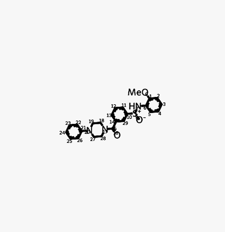 COc1ccccc1N[S+]([O-])c1cccc(C(=O)N2CCN(c3ccccc3)CC2)c1